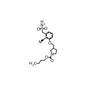 CCCCOC(=O)N1CCC(COc2cccc(CS(N)(=O)=O)c2C#N)C1